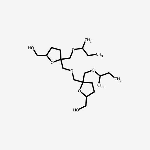 CCC(C)OCC1(COCC2(COC(C)CC)CCC(CO)O2)CCC(CO)O1